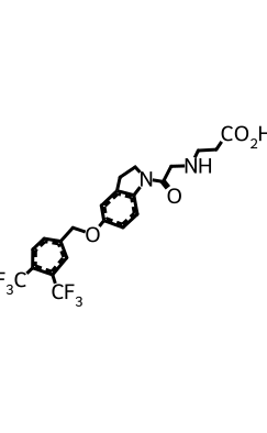 O=C(O)CCNCC(=O)N1CCc2cc(OCc3ccc(C(F)(F)F)c(C(F)(F)F)c3)ccc21